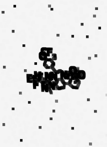 CCC(F)(F)c1cn(-c2ccc(-c3cccc(S(C)(=O)=O)c3)cc2N(N)/C(=C\N)c2ccc(OC(F)(F)F)cc2)c(C)n1